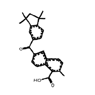 Cc1ccc2cc(C(=O)c3ccc4c(c3)C(C)(C)CC4(C)C)ccc2c1C(=O)O